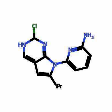 CC(C)c1cc2c(n1-c1cccc(N)n1)=NC(Cl)NC=2